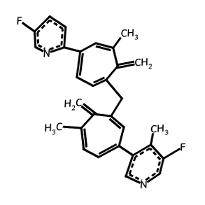 C=C1C(C)=CC(c2ccc(F)cn2)=CC=C1CC1=CC(c2cncc(F)c2C)=CC=C(C)C1=C